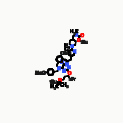 CCCC(CCO[Si](C)(C)C(C)(C)C)Oc1nc(N(Cc2ccc(OC)cc2)Cc2ccc(OC)cc2)c2ncc(Cc3cnc(N4CCC(CN(C)C(=O)OC(C)(C)C)CC4)c(C)c3)n2n1